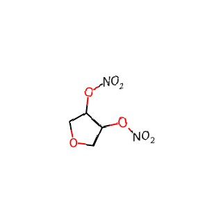 O=[N+]([O-])OC1COCC1O[N+](=O)[O-]